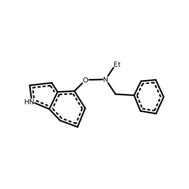 CCN(Cc1ccccc1)Oc1cccc2[nH]ccc12